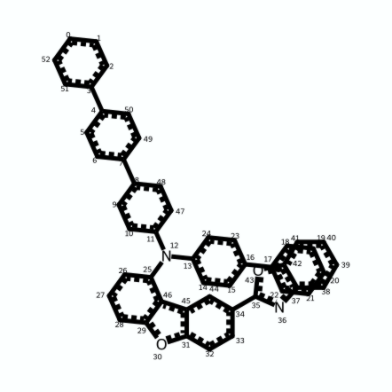 c1ccc(-c2ccc(-c3ccc(N(c4ccc(-c5ccccc5)cc4)c4cccc5oc6ccc(-c7nc8ccccc8o7)cc6c45)cc3)cc2)cc1